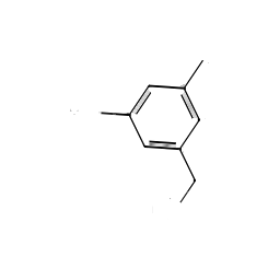 COc1cc(C)cc(CC(=O)O)c1